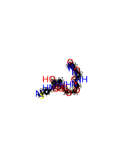 Cc1ncsc1-c1ccc(CNC(=O)[C@H]2C[C@H](O)CN2C(=O)C(NC(=O)OCC(C)(C)OCCC(C)(C)Oc2ccc(C(=O)Nc3ccc4oc(-c5ccc(=O)n(C)n5)nc4c3)nc2)C(C)(C)C)cc1